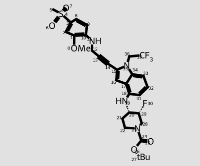 COc1cc(S(C)(=O)=O)ccc1NCC#Cc1cc2c(N[C@H]3CCN(C(=O)OC(C)(C)C)C[C@H]3F)cccc2n1CC(F)(F)F